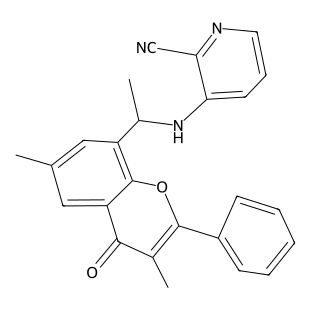 Cc1cc(C(C)Nc2cccnc2C#N)c2oc(-c3ccccc3)c(C)c(=O)c2c1